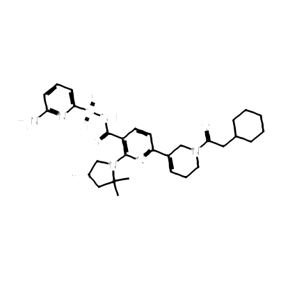 C[C@@H]1CN(c2nc(C3=CCCN(C(=O)CC4CCCCC4)C3)ccc2C(=O)NS(=O)(=O)c2cccc(N)n2)C(C)(C)C1